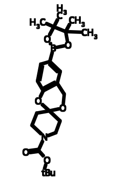 CC(C)(C)OC(=O)N1CCC2(CC1)OCc1cc(B3OC(C)(C)C(C)(C)O3)ccc1O2